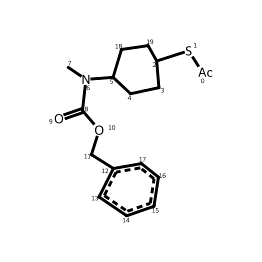 CC(=O)SC1CCC(N(C)C(=O)OCc2ccccc2)CC1